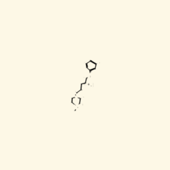 CN1CCN(CCC[C@@H](N)CSc2ccccc2)CC1